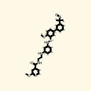 COc1cc(C(=O)NCCNc2cccc(NSc3cc(-c4cccc(C(C)(C)N=O)c4)ccc3OC)c2)ccn1